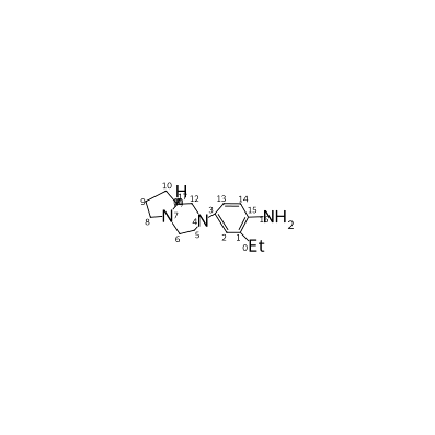 CCc1cc(N2CCN3CCC[C@@H]3C2)ccc1N